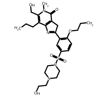 CCCOc1ccc(S(=O)(=O)N2CCN(CCO)CC2)cc1C1=Nc2c(CCC)c(CO)n(C)c(=O)c2C1